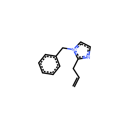 C=CCc1nccn1Cc1ccccc1